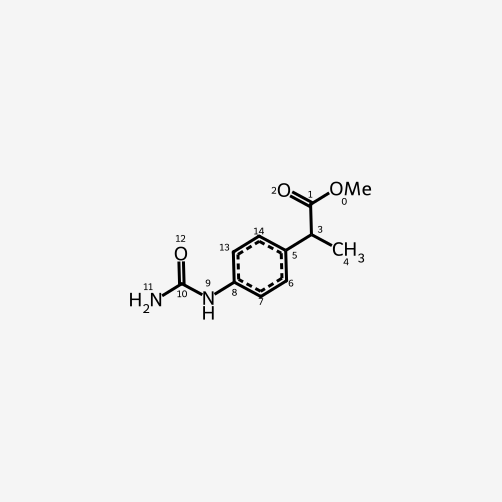 COC(=O)C(C)c1ccc(NC(N)=O)cc1